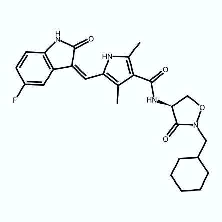 Cc1[nH]c(/C=C2\C(=O)Nc3ccc(F)cc32)c(C)c1C(=O)N[C@H]1CON(CC2CCCCC2)C1=O